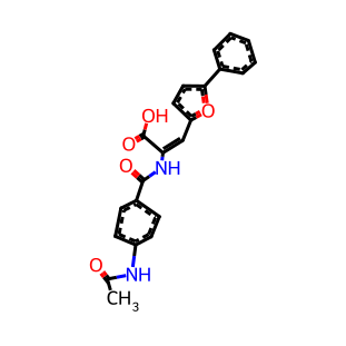 CC(=O)Nc1ccc(C(=O)NC(=Cc2ccc(-c3ccccc3)o2)C(=O)O)cc1